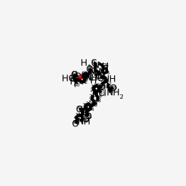 CN1CC[C@H]2CC[C@@H](C(=O)N[C@@H](CCC(N)=O)COc3cccc(N4CCN(Cc5ccc6c(c5)C(=O)N(C5CCC(=O)NC5=O)C6=O)CC4)c3Cl)N2C(=O)[C@@H](NC(=O)c2cc3cc(C(F)(F)P(=O)(O)O)ccc3[nH]2)C1